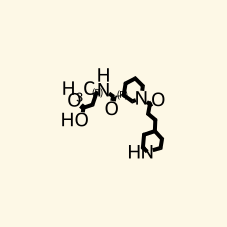 C[C@H](CC(=O)O)NC(=O)[C@@H]1CCCN(C(=O)CCC2CCNCC2)C1